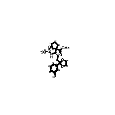 COC(=O)C1([C@@H](CCC2(c3cccc(F)c3)OCCO2)N[S@+]([O-])C(C)(C)C)CCCC1